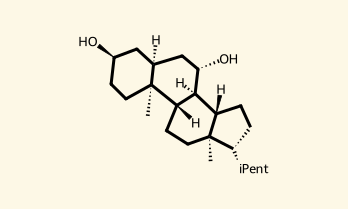 CCC[C@@H](C)[C@H]1CC[C@H]2[C@@H]3[C@@H](O)C[C@@H]4C[C@H](O)CC[C@]4(C)[C@H]3CC[C@]12C